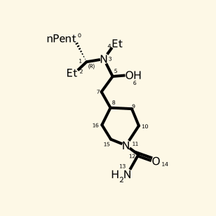 CCCCC[C@@H](CC)N(CC)C(O)CC1CCN(C(N)=O)CC1